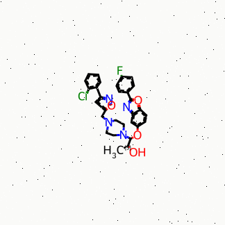 C[C@H](O)C(Oc1ccc2oc(-c3ccc(F)cc3)nc2c1)N1CCN(Cc2cc(-c3ccccc3Cl)no2)CC1